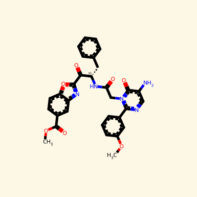 COC(=O)c1ccc2oc(C(=O)[C@H](Cc3ccccc3)NC(=O)Cn3c(-c4cccc(OC)c4)ncc(N)c3=O)nc2c1